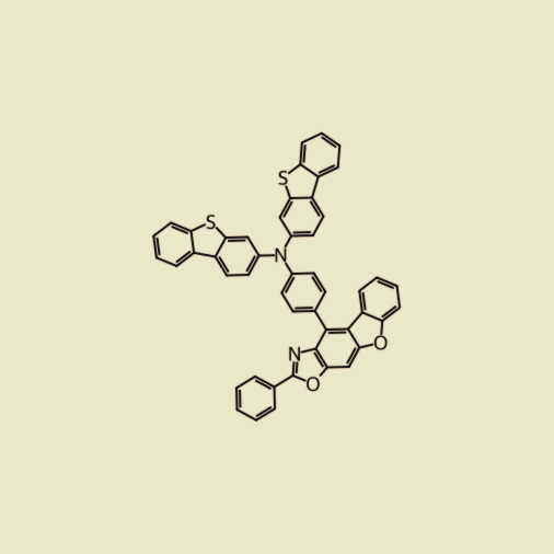 c1ccc(-c2nc3c(-c4ccc(N(c5ccc6c(c5)sc5ccccc56)c5ccc6c(c5)sc5ccccc56)cc4)c4c(cc3o2)oc2ccccc24)cc1